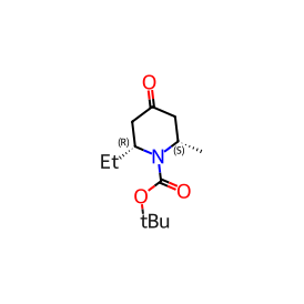 CC[C@@H]1CC(=O)C[C@H](C)N1C(=O)OC(C)(C)C